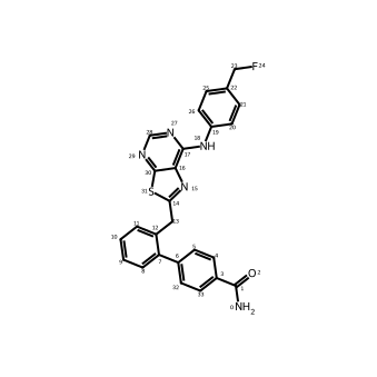 NC(=O)c1ccc(-c2ccccc2Cc2nc3c(Nc4ccc(CF)cc4)ncnc3s2)cc1